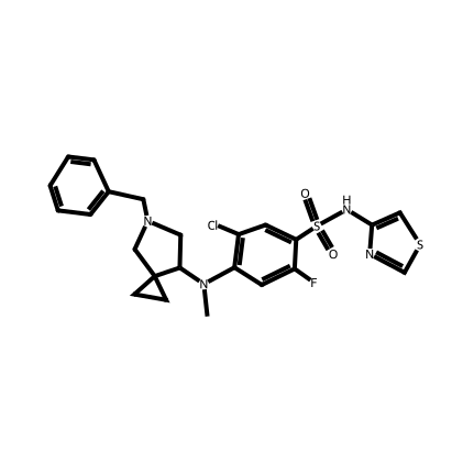 CN(c1cc(F)c(S(=O)(=O)Nc2cscn2)cc1Cl)C1CN(Cc2ccccc2)CC12CC2